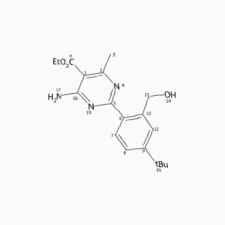 CCOC(=O)c1c(C)nc(-c2ccc(C(C)(C)C)cc2CO)nc1N